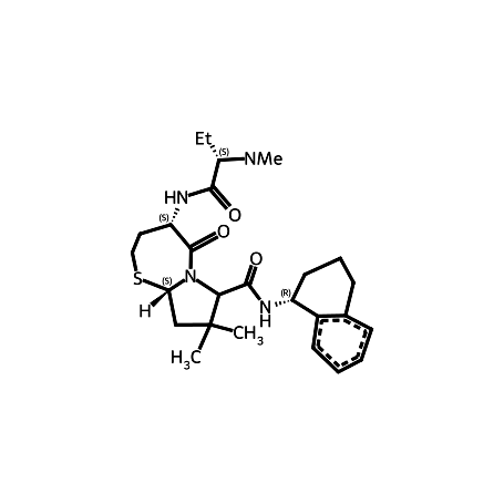 CC[C@H](NC)C(=O)N[C@H]1CCS[C@H]2CC(C)(C)C(C(=O)N[C@@H]3CCCc4ccccc43)N2C1=O